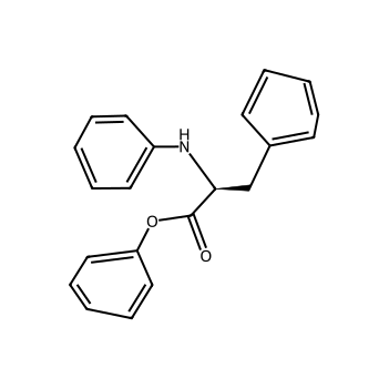 O=C(Oc1ccccc1)[C@H](Cc1ccccc1)Nc1ccccc1